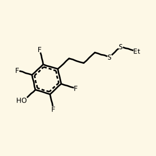 [CH2]CSSCCCc1c(F)c(F)c(O)c(F)c1F